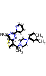 C=C/C=C(\C=C/C)N1CCN(C(=C)c2csc3c(C#N)nc(-c4ccccn4)nc23)CC1